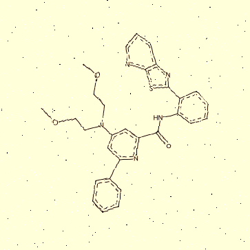 COCCN(CCOC)c1cc(C(=O)Nc2ccccc2-c2nc3cccnc3s2)nc(-c2ccccc2)c1